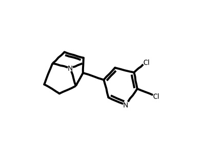 CN1C2C=CC(c3cnc(Cl)c(Cl)c3)C1CC2